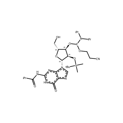 CC(C)C(=O)Nc1nc2c(ncn2[C@@H]2O[C@H](CO)[C@@H](OP(OCCC#N)N(C(C)C)C(C)C)[C@H]2O[Si](C)(C)C(C)(C)C)c(=O)[nH]1